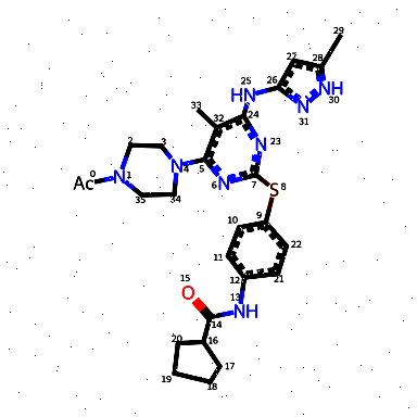 CC(=O)N1CCN(c2nc(Sc3ccc(NC(=O)C4CCCC4)cc3)nc(Nc3cc(C)[nH]n3)c2C)CC1